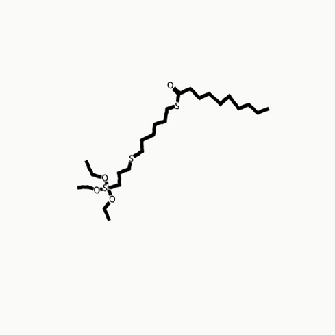 CCCCCCCCCC(=O)SCCCCCCSCCC[Si](OCC)(OCC)OCC